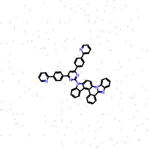 c1ccc(-c2ccc(-c3cc(-c4ccc(-c5ccccn5)cc4)nc(-n4c5ccccc5c5c6c7ccccc7c7nc8ccccc8n7c6ccc54)n3)cc2)nc1